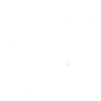 COC(=O)c1ccnc(-c2cc(F)c(F)c(F)c2)c1